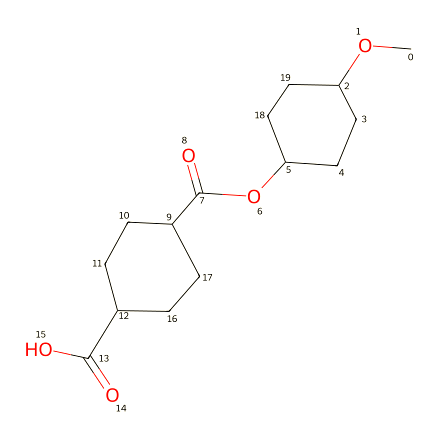 COC1CCC(OC(=O)C2CCC(C(=O)O)CC2)CC1